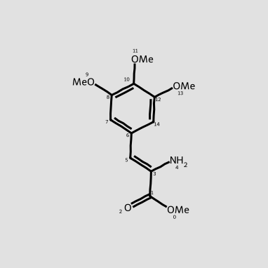 COC(=O)/C(N)=C/c1cc(OC)c(OC)c(OC)c1